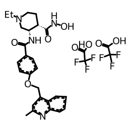 CCN1CC[C@H](C(=O)NO)[C@H](NC(=O)c2ccc(OCc3cc(C)nc4ccccc34)cc2)C1.O=C(O)C(F)(F)F.O=C(O)C(F)(F)F